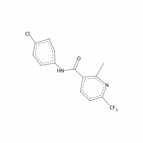 Cc1nc(C(F)(F)F)ccc1C(=O)Nc1c[c]c(Cl)cc1